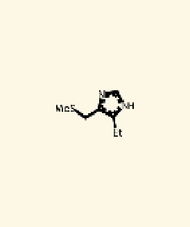 CCc1[nH]cnc1[CH]SC